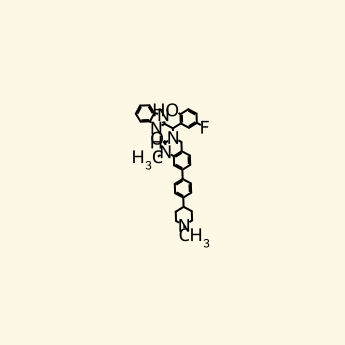 CN1CCC(c2ccc(-c3ccc4c(c3)N(C)C(=O)N(C(c3nc5ccccc5[nH]3)c3cc(F)ccc3O)C4)cc2)CC1